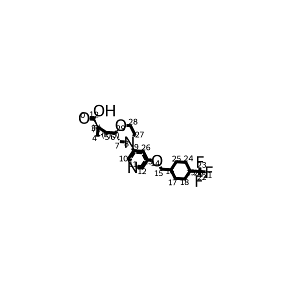 O=C(O)[C@@H]1C[C@H]1[C@H]1CN(c2cncc(OCC3CCC(C(F)(F)F)CC3)c2)CCO1